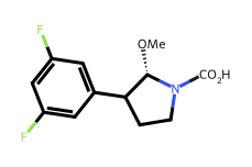 CO[C@H]1C(c2cc(F)cc(F)c2)CCN1C(=O)O